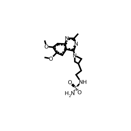 COc1cc2nc(C)nc(N3CC(CCNS(N)(=O)=O)C3)c2cc1OC